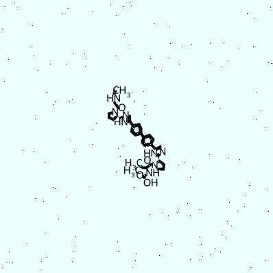 CCNCC(=O)N1CCC[C@H]1c1ncc(-c2ccc(-c3ccc(-c4cnc([C@@H]5CCCN5C(=O)[C@@H](NC(=O)O)C(C)C)[nH]4)cc3)cc2)[nH]1